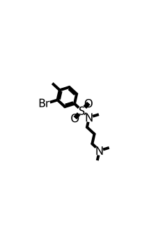 Cc1ccc(S(=O)(=O)N(C)CCCN(C)C)cc1Br